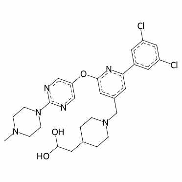 CN1CCN(c2ncc(Oc3cc(CN4CCC(CC(O)O)CC4)cc(-c4cc(Cl)cc(Cl)c4)n3)cn2)CC1